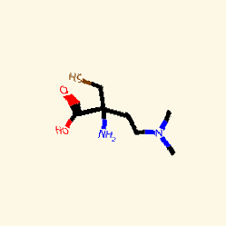 CN(C)CCC(N)(CS)C(=O)O